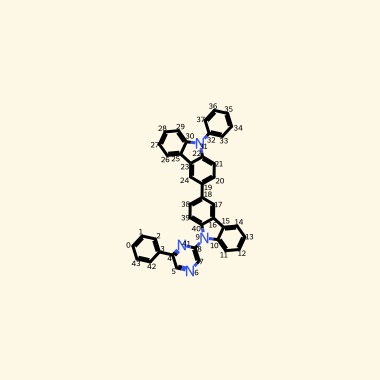 c1ccc(-c2cncc(-n3c4ccccc4c4cc(-c5ccc6c(c5)c5ccccc5n6-c5ccccc5)ccc43)n2)cc1